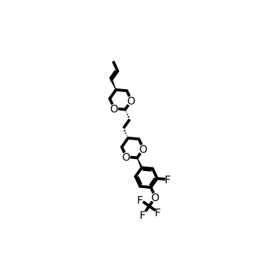 CC=C[C@H]1CO[C@H](CC[C@H]2CO[C@H](c3ccc(OC(F)(F)F)c(F)c3)OC2)OC1